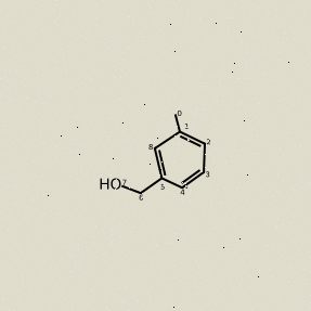 Cc1cc[c]c(CO)c1